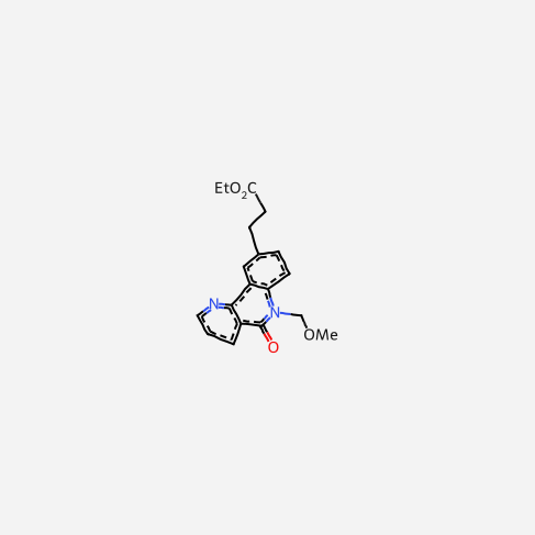 CCOC(=O)CCc1ccc2c(c1)c1ncccc1c(=O)n2COC